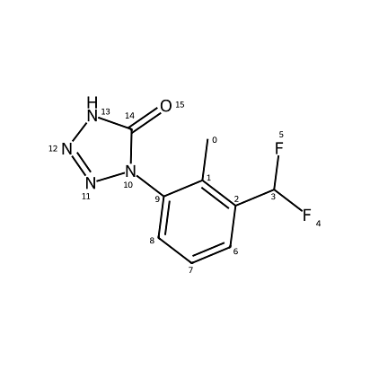 Cc1c(C(F)F)cccc1-n1nn[nH]c1=O